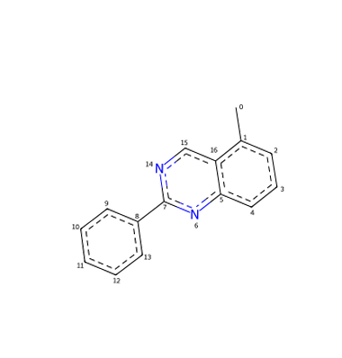 Cc1cccc2nc(-c3ccccc3)ncc12